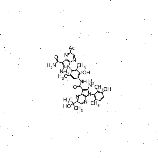 CC(=O)c1cnc2c(n1)c(C(N)=O)c(N)n2-c1c(C)cc(NC(=O)c2c(N)n(-c3c(C)ccc(O)c3C)c3ncc(C(C)(C)O)nc23)c(O)c1C